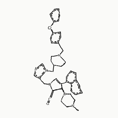 CN1CCN(C2C(=C=O)N(Cc3cncn3CC3CCN(Cc4ccc(Oc5ccccc5)cc4)CC3)C=C2c2cccc3ccccc23)CC1